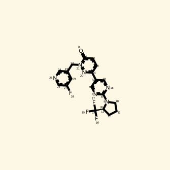 O=c1ccc(-c2cnc(N3CCC[C@H]3C(F)(F)F)nc2)nn1Cc1cncc(F)c1